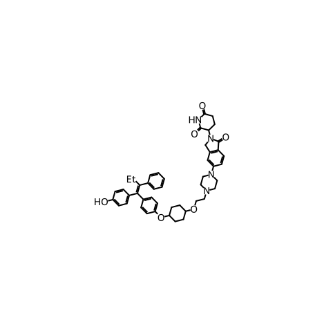 CCC(=C(c1ccc(O)cc1)c1ccc(OC2CCC(OCCN3CCN(c4ccc5c(c4)CN(C4CCC(=O)NC4=O)C5=O)CC3)CC2)cc1)c1ccccc1